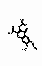 COc1cc2oc(C(=O)O)c(CC(=O)O)c(=O)c2cc1OC